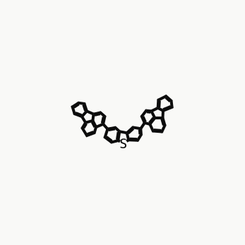 c1ccc2c(c1)-c1cccc3c(-c4ccc5sc6ccc(-c7ccc8c9c(cccc79)-c7ccccc7-8)cc6c5c4)ccc-2c13